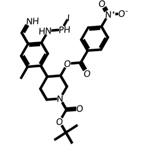 Cc1cc(C=N)c(NPI)cc1C1CCN(C(=O)OC(C)(C)C)CC1OC(=O)c1ccc([N+](=O)[O-])cc1